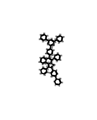 C1=CCC(c2ccc(-c3nn4c(-c5ccccc5)c(-c5ccc(-c6nc(-c7ccccc7)cc(-c7ccccc7)n6)cc5)c5ccccc5c4c3C3=CCCC=C3)cc2)C=C1